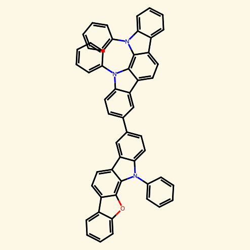 c1ccc(-n2c3ccc(-c4ccc5c(c4)c4ccc6c7ccccc7n(-c7ccccc7)c6c4n5-c4ccccc4)cc3c3ccc4c5ccccc5oc4c32)cc1